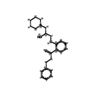 O=C(CCc1ccccc1)c1ccccc1OCC(O)CN1CCCCC1